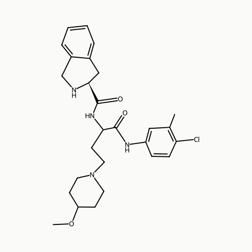 COC1CCN(CCC(NC(=O)[C@@H]2Cc3ccccc3CN2)C(=O)Nc2ccc(Cl)c(C)c2)CC1